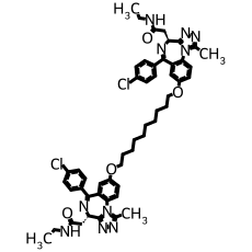 CCNC(=O)C[C@@H]1N=C(c2ccc(Cl)cc2)c2cc(OCCCCCCCCCCOc3ccc4c(c3)C(c3ccc(Cl)cc3)=N[C@@H](CC(=O)NCC)c3nnc(C)n3-4)ccc2-n2c(C)nnc21